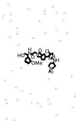 COc1cccc(C(CO)NC(=O)CN2Cc3ccc(-c4nc(NC5CCN(C(C)=O)CC5)ncc4Cl)cc3C2=O)c1